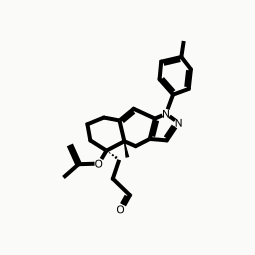 C=C(C)O[C@@]1(CCC=O)CCCC2=Cc3c(cnn3-c3ccc(C)cc3)C[C@@]21C